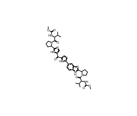 COC(=O)NC(C(=O)N1CCCC1c1ncc(C(=O)c2ccc(-c3ccc4[nH]c(C5CCCN5C(=O)C(NC(=O)OC)C(C)C)nc4c3)[nH]2)[nH]1)C(C)C